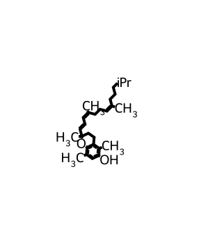 CC(=CC=CC1(C)CCc2c(C)c(O)cc(C)c2O1)CCC=C(C)CCCC(C)C